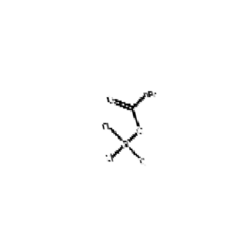 CCCC(=O)O[Si](Cl)(Cl)Cl